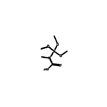 CO[Si](OC)(OC)N(C)C(=O)O